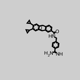 N=C(N)c1ccc(CNC(=O)c2ccc3c(c2)C2OC3c3cc(C4CC4)c(C4CC4)cc32)cc1